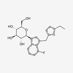 CCc1ccc(Cc2cn([C@@H]3O[C@H](CO)[C@@H](O)[C@H](O)[C@H]3O)c3cccc(F)c23)s1